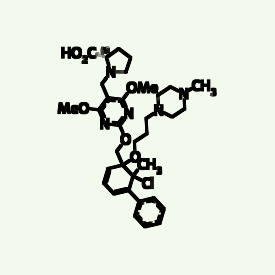 COc1nc(OCC2(OCCCN3CCN(C)CC3)C=CC=C(c3ccccc3)C2(C)Cl)nc(OC)c1CN1CCC[C@H]1C(=O)O